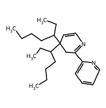 CCCCC(CC)C1(C(CC)CCCC)C=CN=C(c2ccccn2)C1